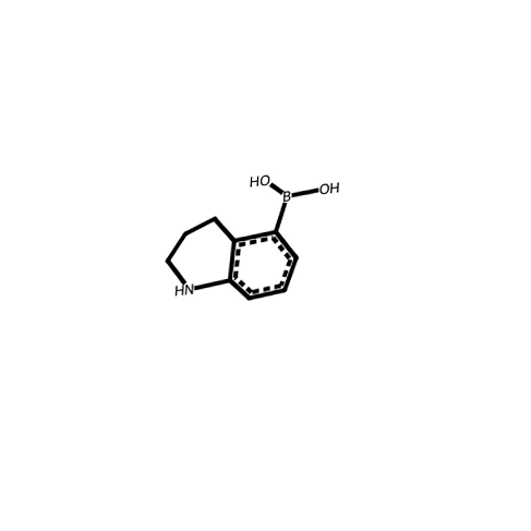 OB(O)c1cccc2c1CCCN2